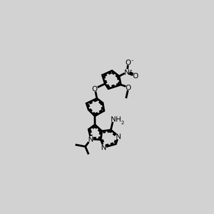 COc1cc(Oc2ccc(-c3cn(C(C)C)c4ncnc(N)c34)cc2)ccc1[N+](=O)[O-]